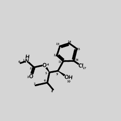 CNC(=O)O[C@H](C(C)C)[C@H](O)c1ccccc1Cl